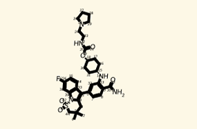 CC1(C)Cc2c(-c3ccc(C(N)=O)c(N[C@H]4CC[C@H](OC(=O)NCCN5CCCC5)CC4)c3)c3ccc(F)cc3n2S(=O)(=O)C1